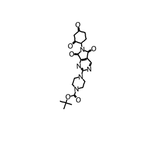 CC(C)(C)OC(=O)N1CCN(c2ncc3c(n2)C(=O)N(C2CCC(=O)CC2=O)C3=O)CC1